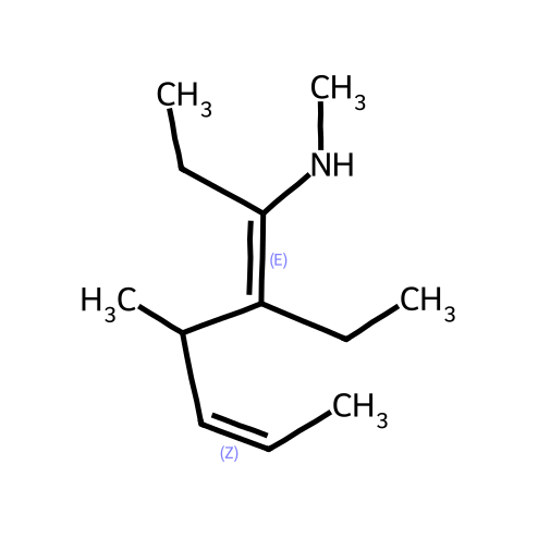 C/C=C\C(C)/C(CC)=C(\CC)NC